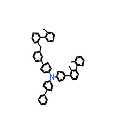 Cc1ccccc1-c1ccccc1Cc1cccc(-c2ccc(N(c3ccc(-c4ccccc4)cc3)c3ccc(-c4cccc(-c5ccccc5C)c4C)cc3)cc2)c1